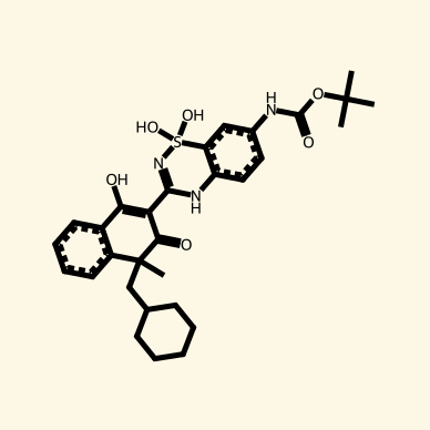 CC(C)(C)OC(=O)Nc1ccc2c(c1)S(O)(O)N=C(C1=C(O)c3ccccc3C(C)(CC3CCCCC3)C1=O)N2